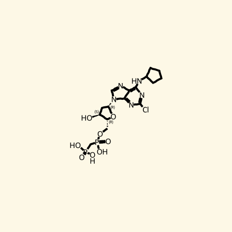 O=P(O)(O)CP(=O)(O)OC[C@H]1O[C@@H](n2cnc3c(NC4CCCC4)nc(Cl)nc32)C[C@@H]1O